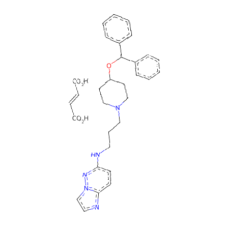 O=C(O)C=CC(=O)O.c1ccc(C(OC2CCN(CCCNc3ccc4nccn4n3)CC2)c2ccccc2)cc1